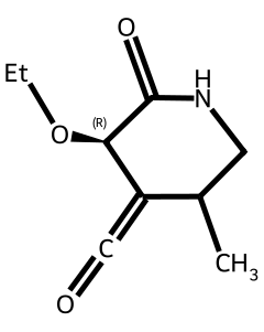 CCO[C@H]1C(=O)NCC(C)C1=C=O